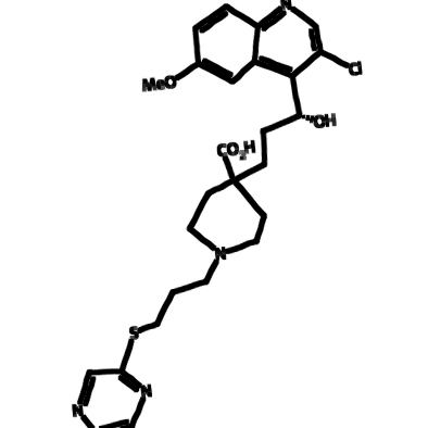 COc1ccc2ncc(Cl)c([C@H](O)CCC3(C(=O)O)CCN(CCCSc4cnccn4)CC3)c2c1